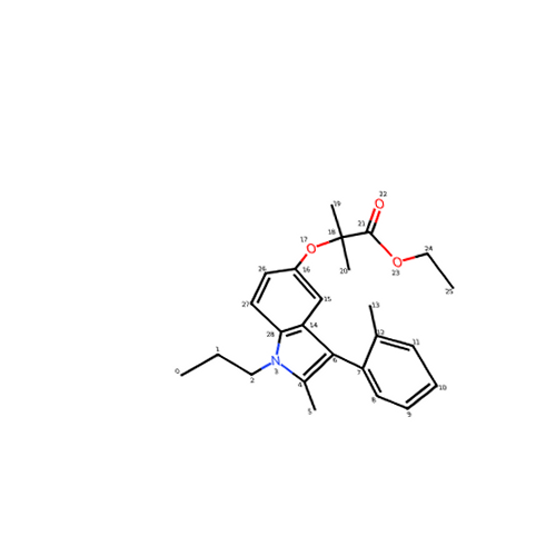 CCCn1c(C)c(-c2ccccc2C)c2cc(OC(C)(C)C(=O)OCC)ccc21